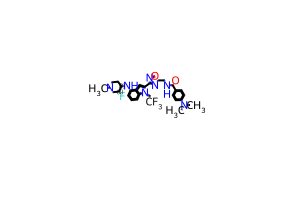 CN1CC[C@@H](Nc2cccc3c2cc(-c2noc(CNC(=O)c4ccc(N(C)C)cc4)n2)n3CC(F)(F)F)[C@@H](F)C1